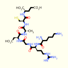 C[C@H](NC(=O)[C@H](CC(=O)O)NC(=O)CNC(=O)[C@H](CCCNC(=N)N)NC(=O)[C@@H](N)CCCCN)C(=O)N[C@@H](CS)C(=O)N[C@@H](CCC(=O)O)C(=O)O